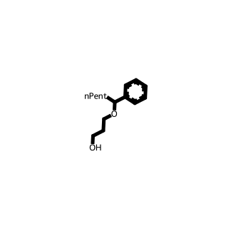 CCCCCC(OCCCO)c1ccccc1